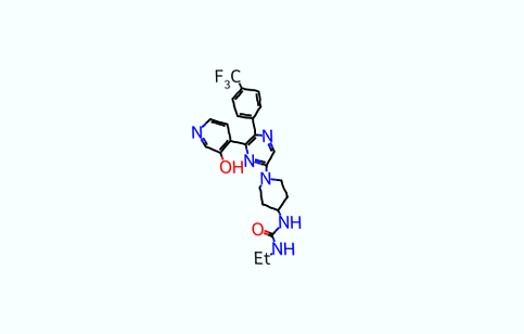 CCNC(=O)NC1CCN(c2cnc(-c3ccc(C(F)(F)F)cc3)c(-c3ccncc3O)n2)CC1